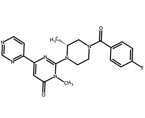 C[C@@H]1CN(C(=O)c2ccc(F)cc2)CCN1c1nc(-c2ccncn2)cc(=O)n1C